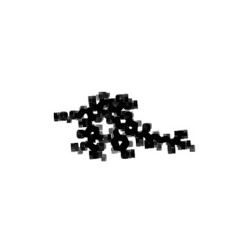 CC(C)[C@@H](NC(=O)[C@H](NC(=O)[C@@H](Cc1ccc(O)cc1)N1C[C@@H](NC(=O)[C@H](N)CCCNC(=N)N)CC1=O)[C@@H](C)O)C(=O)N[C@H](CCC(=O)O)C(=O)N[C@@H]1CC(C)N([C@H](C)C(N)=O)C1=O